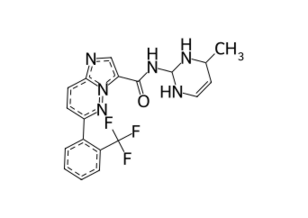 CC1C=CNC(NC(=O)c2cnc3ccc(-c4ccccc4C(F)(F)F)nn23)N1